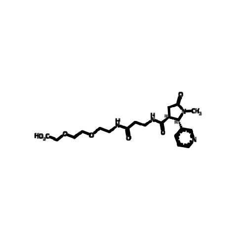 CN1C(=O)C[C@H](C(=O)NCCC(=O)NCCOCCOCC(=O)O)[C@H]1c1cccnc1